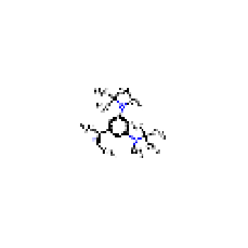 C/C=C(/C)c1cc(N(C)C(C)(C)C)cc(N(C)C(C)(C)C)c1